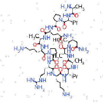 CC(C)[C@H](NC(=O)[C@H](CCCCN)NC(=O)[C@H](CCCNC(=N)N)NC(=O)[C@@H]1CCCN1C(=O)[C@H](CCCCN)NC(=O)[C@H](C)NC(=O)[C@H](CCC(N)=O)NC(=O)[C@@H]1CCCN1C(=O)[C@@H](NC(=O)[C@H](C)N)C(C)C)C(=O)N[C@@H](C)C(=O)N[C@@H](C)C(=O)N[C@@H](CCC(N)=O)C(=O)O